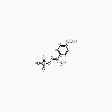 O=S(=O)(O)c1ccc(N=N[O][Cr](=[O])(=[O])[O-])cc1.[Na+]